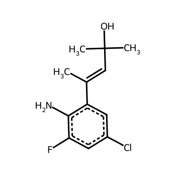 C/C(=C\C(C)(C)O)c1cc(Cl)cc(F)c1N